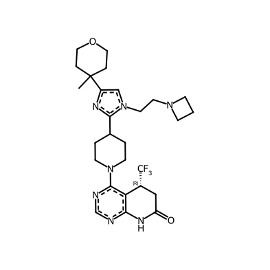 CC1(c2cn(CCN3CCC3)c(C3CCN(c4ncnc5c4[C@H](C(F)(F)F)CC(=O)N5)CC3)n2)CCOCC1